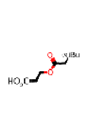 CC[C@H](C)CC(=O)OCCC(=O)O